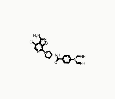 N=CN(C=N)c1ccc(C(=O)N[C@@H]2CCN(c3ncc(Cl)c4c(N)noc34)C2)cc1